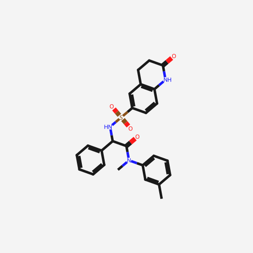 Cc1cccc(N(C)C(=O)C(NS(=O)(=O)c2ccc3c(c2)CCC(=O)N3)c2ccccc2)c1